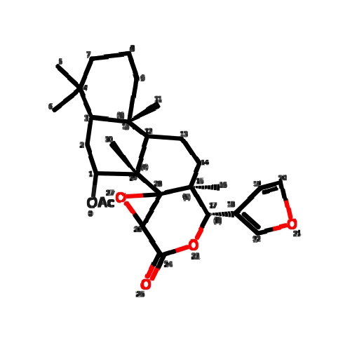 CC(=O)OC1CC2C(C)(C)CCC[C@]2(C)C2CC[C@@]3(C)[C@H](c4ccoc4)OC(=O)C4OC43[C@]12C